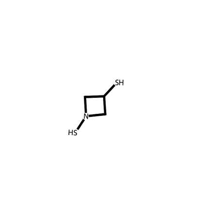 SC1CN(S)C1